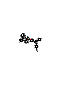 N#Cc1ccc(-c2nc(-c3ccccc3)cc(-c3ccc(-c4ccc(-c5nc6ccccc6c6c7ccccc7n(-c7ccccc7)c56)cc4)cc3)n2)cc1